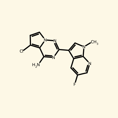 Cn1cc(-c2nc(N)c3c(Cl)ccn3n2)c2cc(F)cnc21